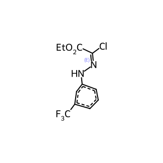 CCOC(=O)/C(Cl)=N\Nc1cccc(C(F)(F)F)c1